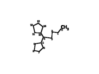 CCCCC(C1CCCC1)C1CCCC1